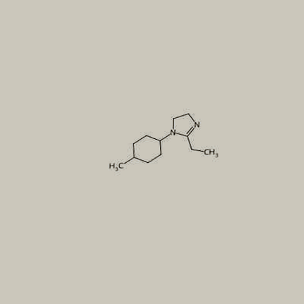 CCC1=NCCN1C1CCC(C)CC1